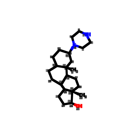 C[C@]12C[C@H](N3CCNCC3)CCC1CCC1C2CC[C@@]2(C)C1CC[C@@H]2O